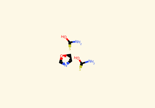 NC(O)=S.NC(O)=S.c1cocn1